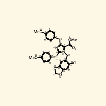 COC(=O)c1c(Sc2ccc(OC)cc2)nc(Sc2ccc(OC)cc2)n1Cc1cc2c(cc1Cl)OCO2